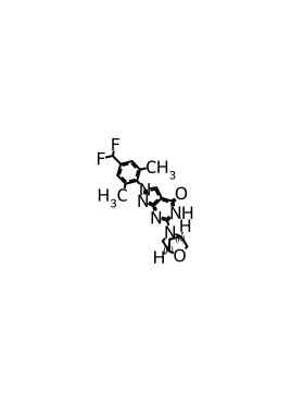 Cc1cc(C(F)F)cc(C)c1-n1cc2c(=O)[nH]c(N3C[C@H]4C[C@@H]3CO4)nc2n1